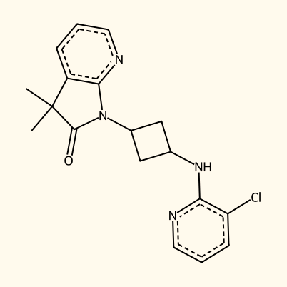 CC1(C)C(=O)N(C2CC(Nc3ncccc3Cl)C2)c2ncccc21